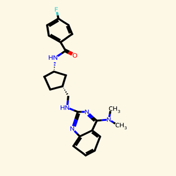 CN(C)c1nc(NC[C@@H]2CC[C@H](NC(=O)c3ccc(F)cc3)C2)nc2ccccc12